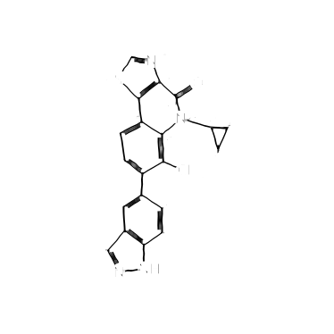 Cc1c(-c2ccc3[nH]ncc3c2)ccc2c3scnc3c(=O)n(C3CC3)c12